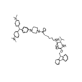 CC(C)C(NC(=O)OCC1c2ccccc2-c2ccccc21)C(=O)NCCCCCC(=O)N1CCN(c2ccc(C(c3ccc(N(C)C)cc3)c3ccc(N(C)C)cc3)cc2)CC1